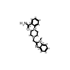 Cn1c(CN2CCN(c3ccccc3C(N)=O)CC2)nc2ccccc21